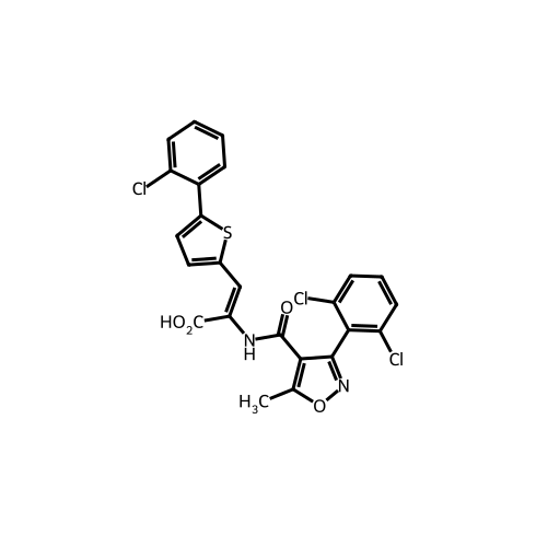 Cc1onc(-c2c(Cl)cccc2Cl)c1C(=O)NC(=Cc1ccc(-c2ccccc2Cl)s1)C(=O)O